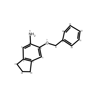 Nc1cc2c(cc1OCc1ccccc1)CCC2